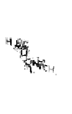 Cc1ccn(-c2cc(-c3ccc(S(C)(=O)=O)cc3)ccc2I)n1